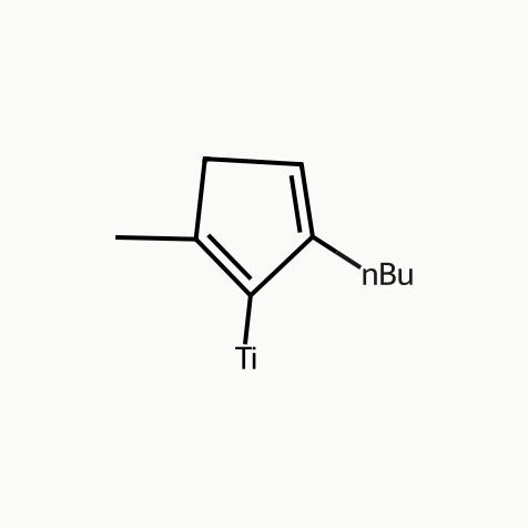 CCCCC1=CCC(C)=[C]1[Ti]